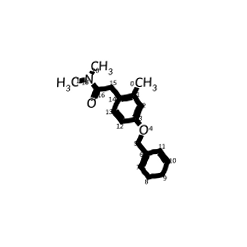 Cc1cc(OCC2=CCCC=C2)ccc1CC(=O)N(C)C